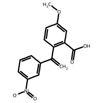 C=C(c1cccc([N+](=O)[O-])c1)c1ccc(OC)cc1C(=O)O